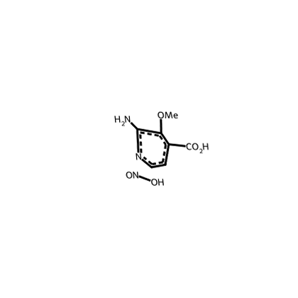 COc1c(C(=O)O)ccnc1N.O=NO